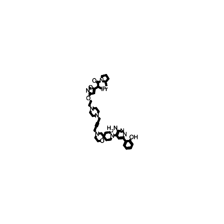 CC(C)C(C(=O)N1CCCC1C)c1cc(OCCN2CCN(CC#CCN3CCOC4(CCN(c5cc(-c6ccccc6O)nnc5N)CC4)C3)CC2)no1